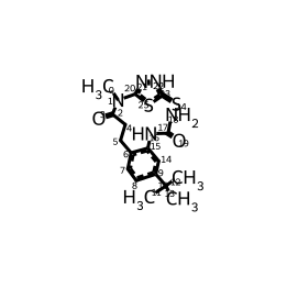 CN(C(=O)CCc1ccc(C(C)(C)C)cc1NC(N)=O)c1n[nH]c(=S)s1